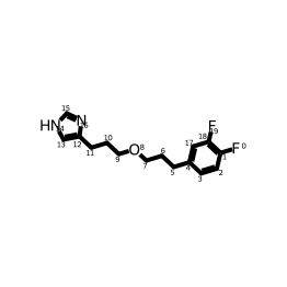 Fc1ccc(CCCOCCCc2c[nH]cn2)cc1F